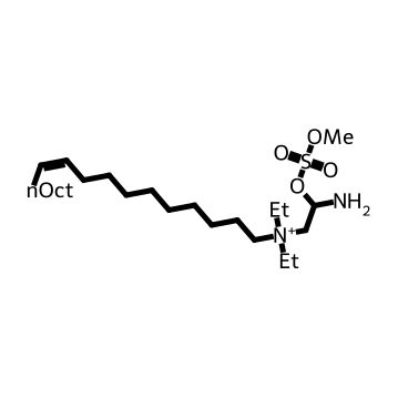 CCCCCCCC/C=C\CCCCCCCCC[N+](CC)(CC)CC(N)OS(=O)(=O)OC